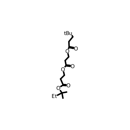 CCC(C)(C)OC(=O)CCOC(=O)CCOC(=O)CCC(C)(C)C